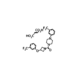 O=C(N1CCN(c2cccc(C(F)(F)F)c2)CC1)N1CC(Oc2cccc(C(F)(F)F)c2)C1.O=C(O)C=CC(=O)O